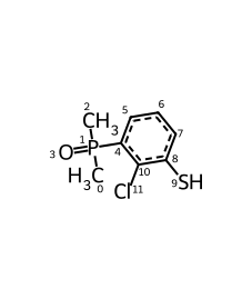 CP(C)(=O)c1cccc(S)c1Cl